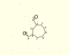 O=CC1CCCCCC(C=O)C1